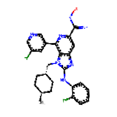 C[C@H]1CC[C@H](Cn2c(Nc3ccccc3F)nc3cc(C(=N)NO)nc(-c4cncc(Cl)c4)c32)CC1